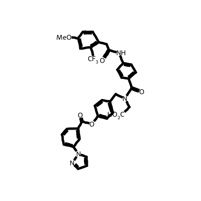 COc1ccc(CC(=O)Nc2ccc(C(=O)N(CC(=O)O)Cc3ccc(OC(=O)c4cccc(-n5cccn5)c4)cc3)cc2)c(C(F)(F)F)c1